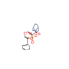 CS(=O)(=O)OC1=CC2CCC(C1)N2C(=O)C1=COC=C(C2=CC=CCC2)O1